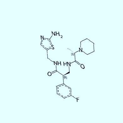 C[C@@H](C(=O)NC[C@H](C(=O)NCc1cnc(N)s1)c1cccc(F)c1)N1CCCCC1